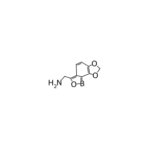 NCc1obc2c3c(ccc12)OCO3